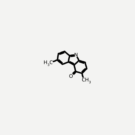 CC1=CC=C2N=c3ccc(C)cc3=C2C1=O